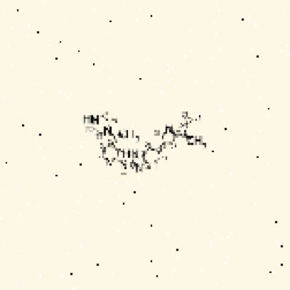 CC(c1ccnc(Nc2nc3ccc(-c4cnn(C(C)C5CC5)c4)cc3[nH]2)c1)N1CCNCC1